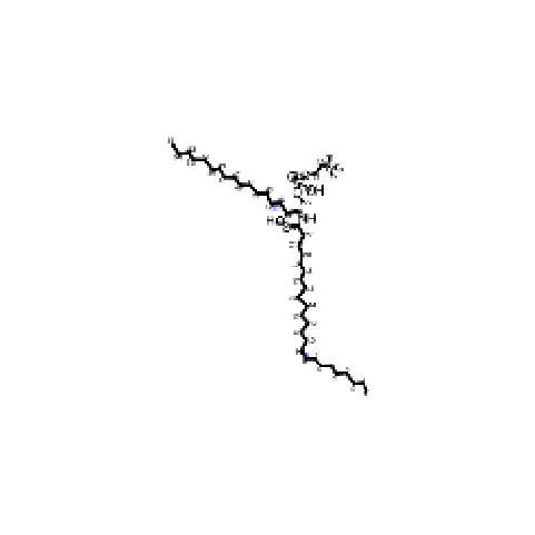 CCCCCCCC/C=C\CCCCCCCCCCCCCC(=O)N[C@@H](COP(=O)(O)OCC[N+](C)(C)C)[C@H](O)/C=C/CCCCCCCCCCCCC